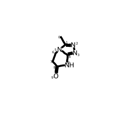 Cc1nnc2n1CCC(=O)N2